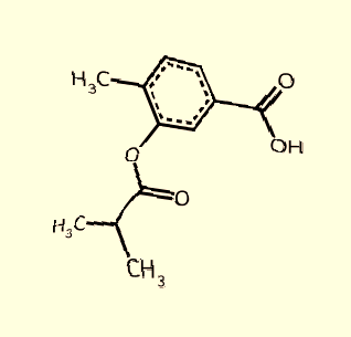 Cc1ccc(C(=O)O)cc1OC(=O)C(C)C